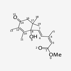 COC(=O)/C=C(C)\C=C\C1(O)C(C)=C(C)C(=O)CC1(C)C